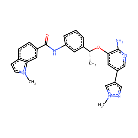 C[C@@H](Oc1cc(-c2cnn(C)c2)cnc1N)c1cccc(NC(=O)c2ccc3ccn(C)c3c2)c1